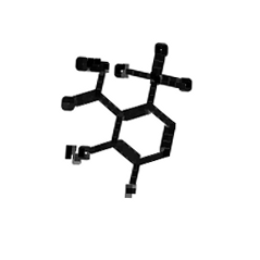 COC(=O)c1c(S(=O)(=O)Cl)ccc(F)c1C(F)(F)F